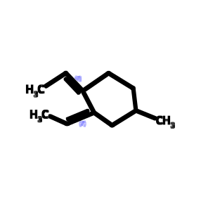 C/C=C1/CCC(C)C/C1=C/C